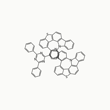 c1ccc(-c2nc(-c3ccccc3)nc(-c3cc(Cc4cccc5sc6ccc7c8ccccc8n(-c8ccccc8)c7c6c45)cnc3-c3cccc4sc5ccc6c7ccccc7n(-c7ccccc7)c6c5c34)n2)cc1